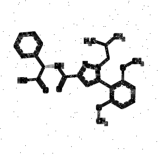 COc1cccc(OC)c1-c1cc(C(=O)N[C@H](C(=O)O)c2ccccc2)nn1CC(C)C